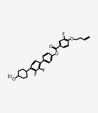 C=CCCOc1ccc(C(=O)Oc2ccc(-c3ccc(C4CCC(OCC)CC4)c(F)c3F)cc2)cc1F